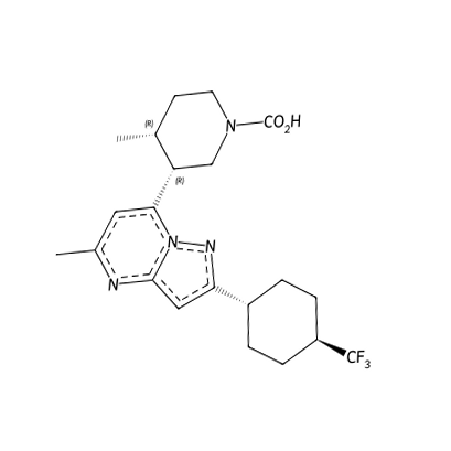 Cc1cc([C@H]2CN(C(=O)O)CC[C@H]2C)n2nc([C@H]3CC[C@H](C(F)(F)F)CC3)cc2n1